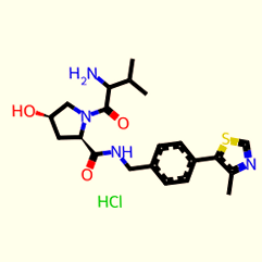 Cc1ncsc1-c1ccc(CNC(=O)[C@H]2C[C@@H](O)CN2C(=O)C(N)C(C)C)cc1.Cl